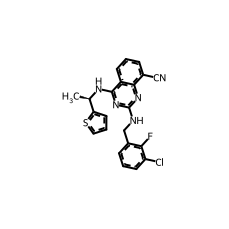 C[C@@H](Nc1nc(NCc2cccc(Cl)c2F)nc2c(C#N)cccc12)c1cccs1